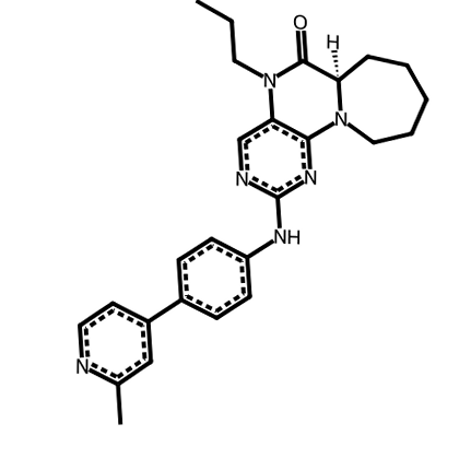 CCCN1C(=O)[C@H]2CCCCCN2c2nc(Nc3ccc(-c4ccnc(C)c4)cc3)ncc21